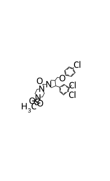 CS(=O)(=O)N1CCN(C(=O)N2CC(COc3ccc(Cl)cc3)C(c3ccc(Cl)c(Cl)c3)C2)CC1